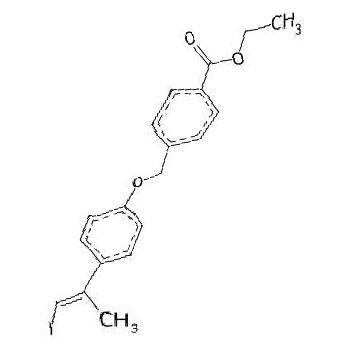 CCOC(=O)c1ccc(COc2ccc(/C(C)=C/I)cc2)cc1